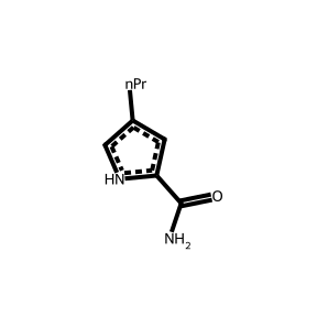 CCCc1c[nH]c(C(N)=O)c1